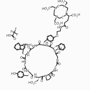 CCCCC[C@@H]1NC(=O)[C@H](Cc2ccc(OCCNC(=O)CC[C@H](C(=O)O)N3CCN(CC(=O)O)CCN(CC(=O)O)CCN(CC(=O)O)CC3)cc2)NC(=O)[C@H](Cc2ccccc2)N(C)C(=O)CNC(=O)CNC(=O)[C@H]2CCCN2C(=O)[C@H](CC(=O)O)NC(=O)[C@H](Cc2ccc(O)cc2)NC(=O)CNC(=O)[C@H](Cc2c[nH]c3ccccc23)NC1=O.O=C(O)C(F)(F)F